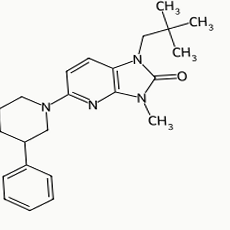 Cn1c(=O)n(CC(C)(C)C)c2ccc(N3CCCC(c4ccccc4)C3)nc21